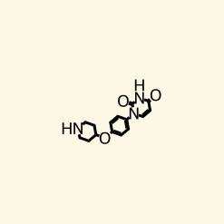 O=c1ccn(-c2ccc(OC3CCNCC3)cc2)c(=O)[nH]1